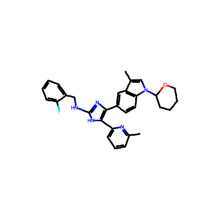 Cc1cccc(-c2[nH]c(NCc3ccccc3F)nc2-c2ccc3c(c2)c(C)cn3C2CCCCO2)n1